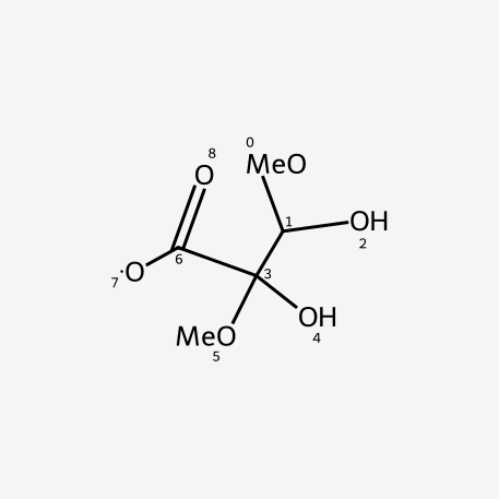 COC(O)C(O)(OC)C([O])=O